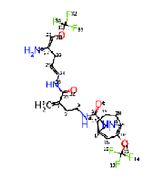 C=C(CCNC(=O)C1NC2=C(OC(F)(F)F)C=C1CCC2)C(=O)N/C=C/C/C(N)=C\OC(F)(F)F